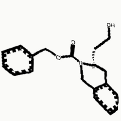 O=C(OCc1ccccc1)N1Cc2ccccc2C[C@H]1CCO